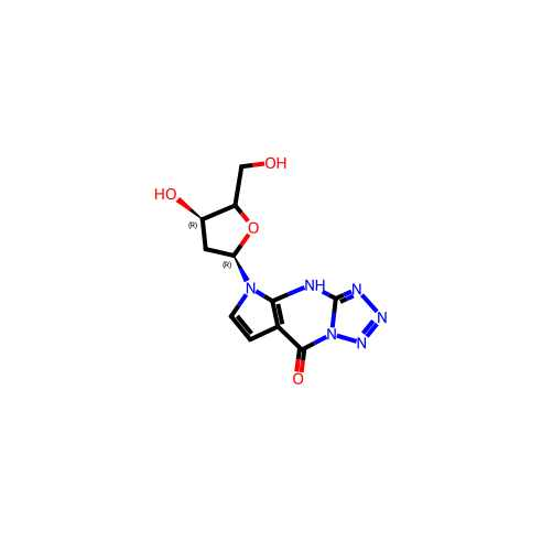 O=c1c2ccn([C@H]3C[C@@H](O)C(CO)O3)c2[nH]c2nnnn12